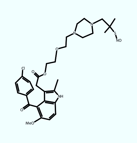 COc1ccc2[nH]c(C)c(CC(=O)OCCOCCN3CCN(CC(C)(C)SN=O)CC3)c2c1C(=O)c1ccc(Cl)cc1